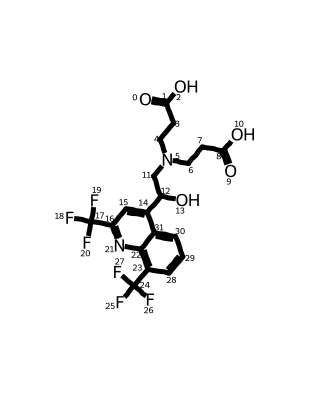 O=C(O)CCN(CCC(=O)O)CC(O)c1cc(C(F)(F)F)nc2c(C(F)(F)F)cccc12